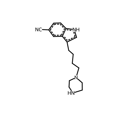 N#Cc1ccc2[nH]cc(CCCCN3CCNCC3)c2c1